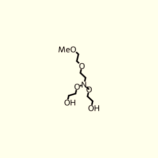 COCCOCCN(OCCO)OCCO